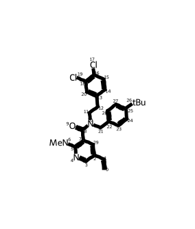 C=Cc1cnc(NC)c(C(=O)N(CCc2ccc(Cl)c(Cl)c2)Cc2ccc(C(C)(C)C)cc2)c1